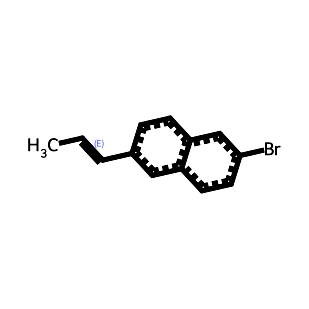 C/C=C/c1ccc2cc(Br)ccc2c1